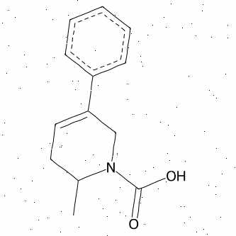 CC1CC=C(c2ccccc2)CN1C(=O)O